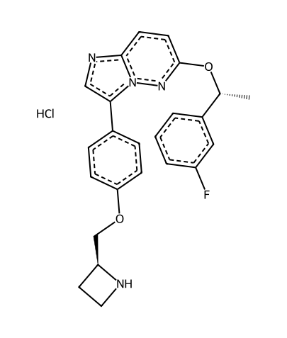 C[C@@H](Oc1ccc2ncc(-c3ccc(OC[C@@H]4CCN4)cc3)n2n1)c1cccc(F)c1.Cl